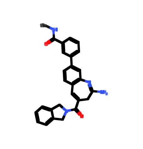 CC(C)(C)NC(=O)c1cccc(-c2ccc3c(c2)N=C(N)CC(C(=O)N2Cc4ccccc4C2)=C3)c1